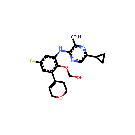 O=C(O)c1nc(C2CC2)cnc1Nc1cc(F)cc(C2=CCOCC2)c1OCO